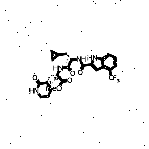 COC(=O)[C@H](C[C@@H]1CCCNC1=O)NC(=O)[C@H](CC1CC1)NC(=O)c1cc2c(C(F)(F)F)cccc2[nH]1